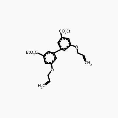 C=CCOc1cc(C(=O)OCC)cc(-c2cc(OCC=C)cc(C(=O)OCC)c2)c1